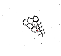 Oc1cccc2c1B1c3c(cccc3Oc3cccc(C(F)(F)C(F)(F)C(F)(F)C(F)(F)F)c31)O2